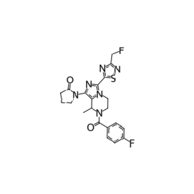 CC1c2c(N3CCCC3=O)nc(-c3nc(CF)ns3)n2CCN1C(=O)c1ccc(F)cc1